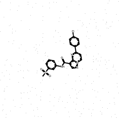 CS(=O)(=O)c1cccc(NC(=O)c2cnn3ccc(-c4ccc(Cl)cc4)nc23)c1